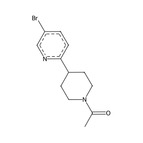 CC(=O)N1CCC(c2ccc(Br)cn2)CC1